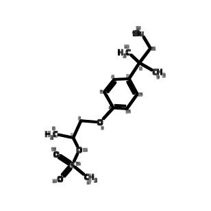 CC(COc1ccc(C(C)(C)CC(C)(C)C)cc1)OS(C)(=O)=O